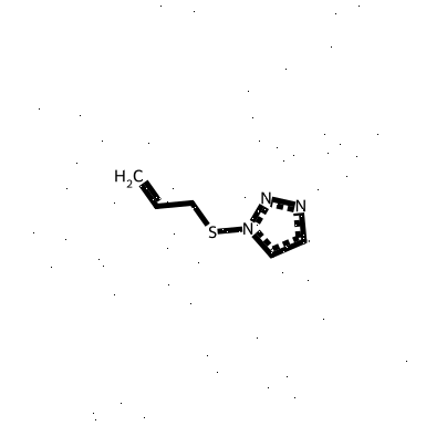 C=CCSn1c[c]nn1